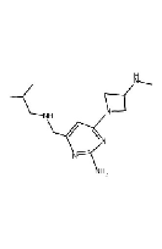 CNC1CN(c2cc(CNCC(C)C)nc(N)n2)C1